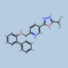 FC(F)c1nnc(-c2ccc(COc3ccccc3-c3ccccc3)nc2)o1